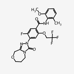 COc1cccc(C)c1NC(=O)c1cc(F)c(-n2nc3n(c2=O)CCCOC3)cc1OCC(F)(F)F